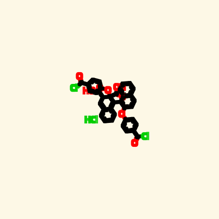 Cl.O=C(Cl)c1ccc(Oc2ccc3ccccc3c2C2=c3ccccc3=CC(C(=O)O)C2(Oc2ccc(C(=O)Cl)cc2)C(=O)O)cc1